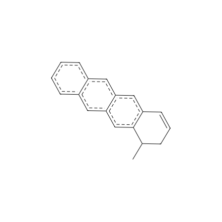 CC1CC=Cc2cc3cc4ccccc4cc3cc21